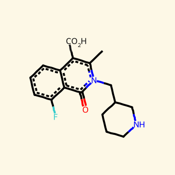 Cc1c(C(=O)O)c2cccc(F)c2c(=O)n1CC1CCCNC1